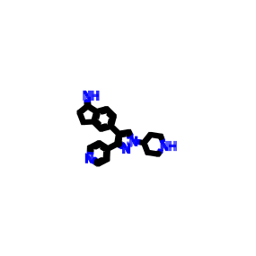 N=C1CCc2cc(-c3cn(C4CCNCC4)nc3-c3ccncc3)ccc21